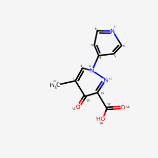 Cc1cn(-c2ccncc2)nc(C(=O)O)c1=O